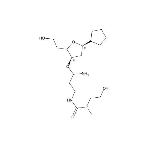 CP(CCO)C(=O)NCCC(N)O[C@@H]1C[C@H](C2CCCC2)OC1CCO